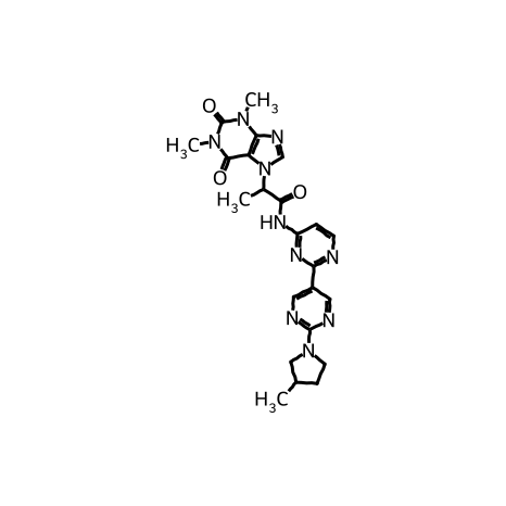 CC1CCN(c2ncc(-c3nccc(NC(=O)C(C)n4cnc5c4c(=O)n(C)c(=O)n5C)n3)cn2)C1